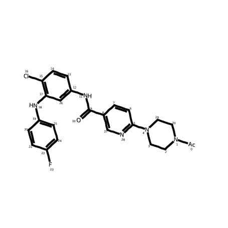 CC(=O)N1CCN(c2ccc(C(=O)Nc3ccc(Cl)c(Nc4ccc(F)cc4)c3)cn2)CC1